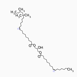 CCCCCC/C=C\CCCCCCCC(=O)OCC(O)COC(=O)CCCCCCC/C=C\CCCCCC(C)(C)CC(C)CC